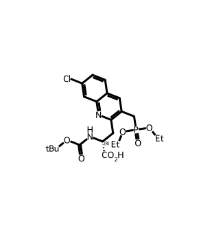 CCOP(=O)(Cc1cc2ccc(Cl)cc2nc1C[C@@H](NC(=O)OC(C)(C)C)C(=O)O)OCC